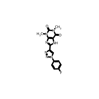 Cn1c(=O)c2[nH]c(-c3cn(-c4ccc(F)cc4)nn3)nc2n(C)c1=O